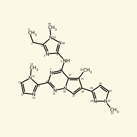 CCc1nc(Nc2nc(-c3nccn3C)nn3cc(-c4ccn(C)n4)c(C)c23)nn1C